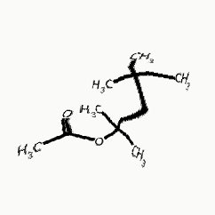 CC(=O)OC(C)(C)CC(C)(C)C